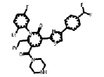 CCc1ccc(F)cc1-n1c(CC(C)C)c(C(=O)N2CCNCC2)cc(-c2nc(-c3ccc(C(F)F)cc3)cs2)c1=O